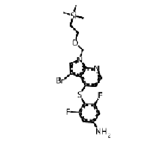 C[Si](C)(C)CCOCn1cc(Br)c2c(Sc3c(F)cc(N)cc3F)ccnc21